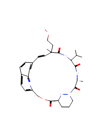 COCCC1(C)/C=C/c2ccc3ccc(nc3c2)[C@@H](C)OC(=O)[C@@H]2CCCN(N2)C(=O)[C@H](C)NC(=O)C(C(C)C)NC1=O